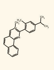 Cc1cc(C(C)C)ccc1-c1nc2c(ccc3ccccc32)c[n+]1C